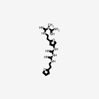 CN(C(=N)N)C(=N)NCCc1cc(NC(=N)NC(=N)NCCc2ccco2)co1